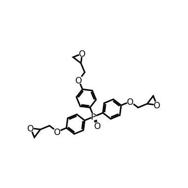 O=P(c1ccc(OCC2CO2)cc1)(c1ccc(OCC2CO2)cc1)c1ccc(OCC2CO2)cc1